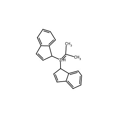 C[C](C)=[ZrH]([CH]1C=Cc2ccccc21)[CH]1C=Cc2ccccc21